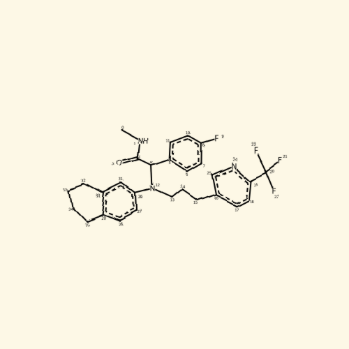 CNC(=O)C(c1ccc(F)cc1)N(CCCc1ccc(C(F)(F)F)nc1)c1ccc2c(c1)CCCC2